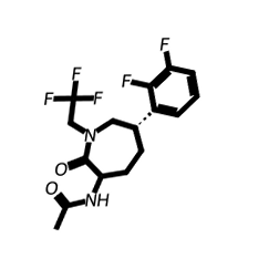 CC(=O)NC1CC[C@@H](c2cccc(F)c2F)CN(CC(F)(F)F)C1=O